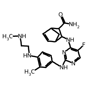 CNCCNc1ccc(Nc2ncc(F)c(NC3C4C=CC(C4)C3C(N)=O)n2)cc1C